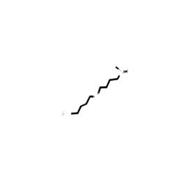 CCN(C)CCCCOCCCCC(C)C